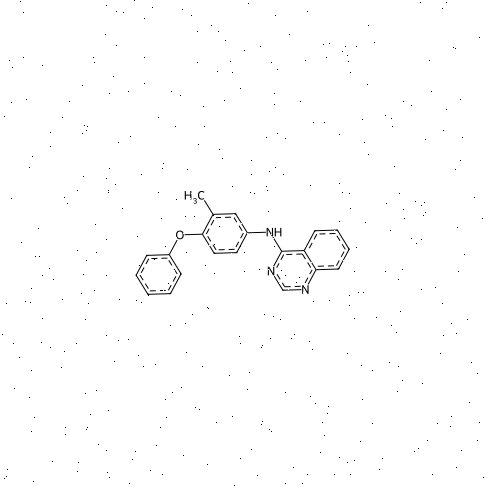 Cc1cc(Nc2ncnc3ccccc23)ccc1Oc1ccccc1